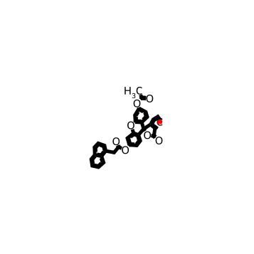 CC(=O)Oc1ccc2c(c1)Oc1cc(OC(=O)Cc3cccc4ccccc34)ccc1C21OC(=O)c2ccccc21